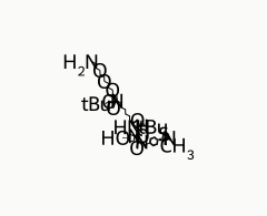 Cc1ncsc1-c1ccc(CNC(=O)[C@@H]2C[C@@H](O)CN2C(=O)[C@@H](NC(=O)CCCCCCN(CCOCCOCCOCCN)C(=O)OC(C)(C)C)C(C)(C)C)cc1